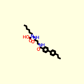 CCCCCCN(NC(=O)CCNC(=O)c1ccc(-c2ccc(CCC)cc2)cc1)C(=O)O